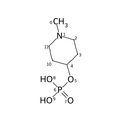 CN1CCC(OP(=O)(O)O)CC1